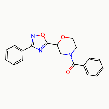 O=C(c1ccccc1)N1CCOC(c2nc(-c3ccccc3)no2)C1